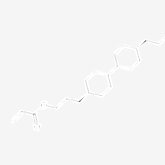 C=CC(=O)OCCC[C@H]1CC[C@H]([C@H]2CC[C@H](CCC)CC2)CC1